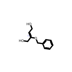 OC/C=C(/CO)OCc1ccccc1